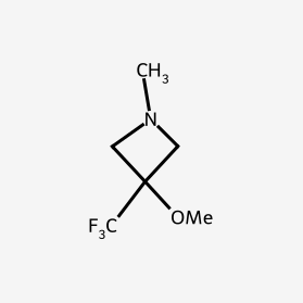 COC1(C(F)(F)F)CN(C)C1